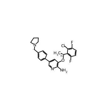 C[C@H](Oc1cc(-c2ccc([CH]N3CCCC3)cc2)cnc1N)c1c(F)ccc(F)c1Cl